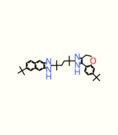 CC(C)(C)c1ccc2c(c1)OCCc1nc(C(C)(C)CCC(C)(C)c3nc4cc5ccc(C(C)(C)C)cc5cc4[nH]3)[nH]c1-2